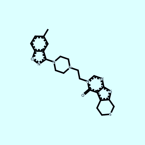 Cc1ccc2onc(N3CCN(CCn4cnc5sc6c(c5c4=O)CCSC6)CC3)c2c1